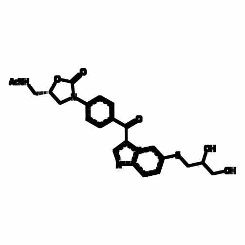 CC(=O)NC[C@H]1CN(c2ccc(C(=O)c3cnc4ccc(SCC(O)CO)cn34)cc2)C(=O)O1